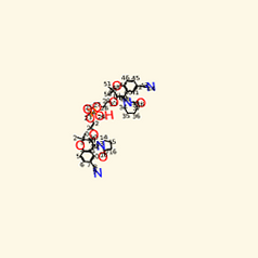 CC1(C)Oc2ccc(C#N)cc2[C@@H](N2CCCC2=O)[C@@H]1OCCOP(=O)(O)OCCO[C@H]1[C@H](N2CCCC3OC32)c2cc(C#N)ccc2OC1(C)C